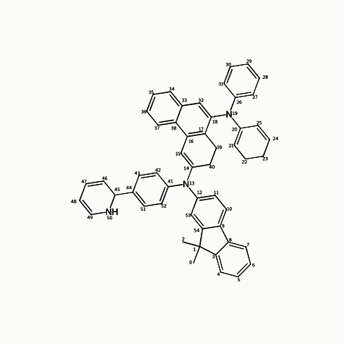 CC1(C)c2ccccc2-c2ccc(N(C3=Cc4c(c(N(C5=CCCC=C5)c5ccccc5)cc5ccccc45)CC3)c3ccc(C4C=CC=CN4)cc3)cc21